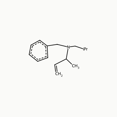 C=CC(C)N(Cc1ccccc1)CC(C)C